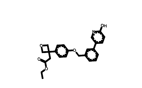 CCOC(=O)CC1(c2ccc(OCc3cccc(-c4ccc(O)nc4)c3)cc2)COC1